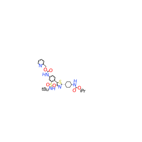 CC(C)OC(=O)N[C@H]1CC[C@H](c2ncc(-c3ccc(NC(=O)OCc4ccccn4)cc3S(=O)(=O)NC(C)(C)C)s2)CC1